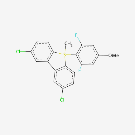 COc1cc(F)c(S2(C)c3ccc(Cl)cc3-c3cc(Cl)ccc32)c(F)c1